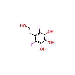 OCCc1c(I)c(O)c(O)c(O)c1I